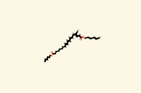 CCCCCCOC(=O)CCCCCCCCCCCCCCC(C)CCC(=O)OCCCCCC